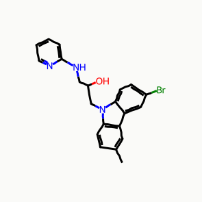 Cc1ccc2c(c1)c1cc(Br)ccc1n2CC(O)CNc1ccccn1